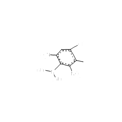 CCCN(CCC)c1c([N+](=O)[O-])cc(Cl)c(C)c1[N+](=O)[O-]